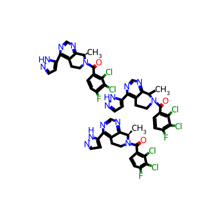 CC1c2ncnc(-c3ccn[nH]3)c2CCN1C(=O)c1ccc(F)c(Cl)c1Cl.C[C@@H]1c2ncnc(-c3ccn[nH]3)c2CCN1C(=O)c1ccc(F)c(Cl)c1Cl.C[C@H]1c2ncnc(-c3ccn[nH]3)c2CCN1C(=O)c1ccc(F)c(Cl)c1Cl